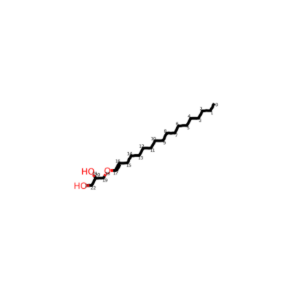 CCCCCCCCCCCCCCCCC=COCC(O)CO